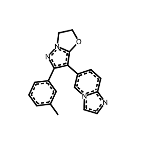 Cc1cccc(-c2nn3c(c2-c2ccc4nccn4c2)OCC3)c1